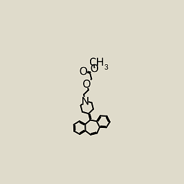 COC(=O)COCCN1CCC(=C2c3ccccc3C=Cc3ccccc32)CC1